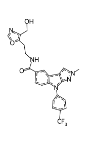 Cn1cc2c3cc(C(=O)NCCc4ocnc4CO)ccc3n(-c3ccc(C(F)(F)F)cc3)c2n1